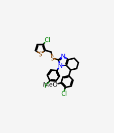 COc1cc(C2CCCc3nc(SCc4sccc4Cl)n(-c4ccc(F)cc4)c32)ccc1Cl